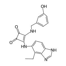 CCc1c(Nc2c(NCc3cccc(O)c3)c(=O)c2=O)ccc2[nH]cnc12